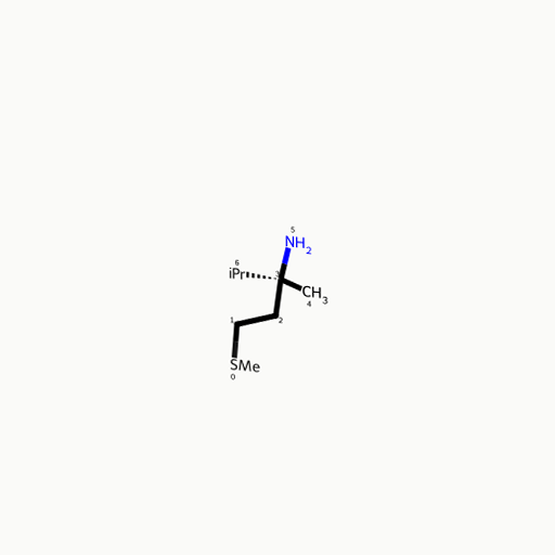 CSCC[C@](C)(N)C(C)C